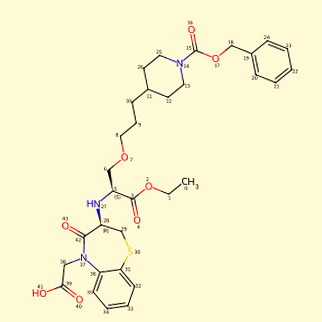 CCOC(=O)[C@H](COCCCC1CCN(C(=O)OCc2ccccc2)CC1)N[C@H]1CSc2ccccc2N(CC(=O)O)C1=O